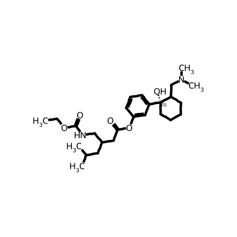 CCOC(=O)NCC(CC(=O)Oc1cccc([C@]2(O)CCCCC2CN(C)C)c1)CC(C)C